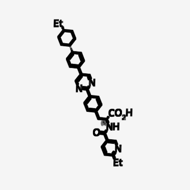 CCc1ccc(C(=O)N[C@@H](Cc2ccc(-c3ncc(-c4ccc([C@H]5CC[C@H](CC)CC5)cc4)cn3)cc2)C(=O)O)cn1